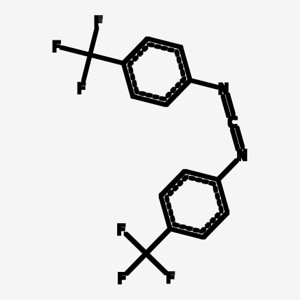 FC(F)(F)c1ccc(N=C=Nc2ccc(C(F)(F)F)cc2)cc1